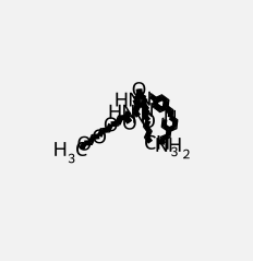 CCCCOc1nc(NC(=O)C=COCCOCCOC)c2[nH]c(=O)n(Cc3ccc(CN4CCC(CCN)CC4)cc3)c2n1